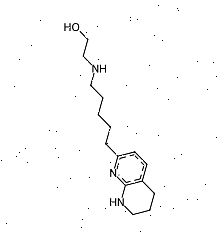 OCCNCCCCCc1ccc2c(n1)NCCC2